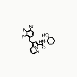 O=C(N[C@H]1CCCC[C@@H]1O)c1cc(Cc2ccc(Br)c(F)c2F)c2cccnn12